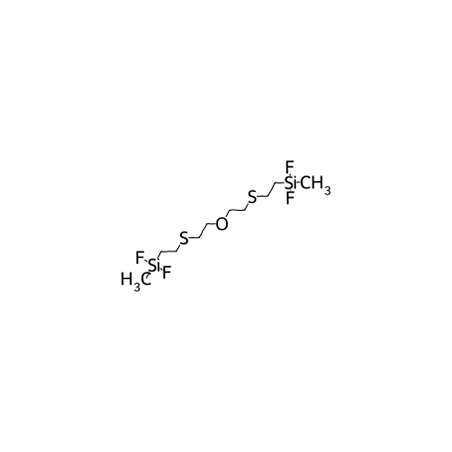 C[Si](F)(F)CCSCCOCCSCC[Si](C)(F)F